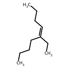 CCCC=C(CC)CCCC